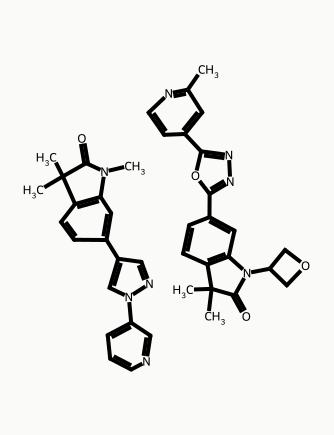 CN1C(=O)C(C)(C)c2ccc(-c3cnn(-c4cccnc4)c3)cc21.Cc1cc(-c2nnc(-c3ccc4c(c3)N(C3COC3)C(=O)C4(C)C)o2)ccn1